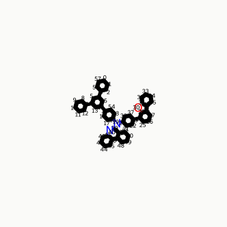 c1ccc(-c2cc(-c3ccccc3)cc(-c3ccc(N(c4ccc(-c5cccc6c5oc5ccccc56)cc4)c4nc5ccccc5c5ccccc45)cc3)c2)cc1